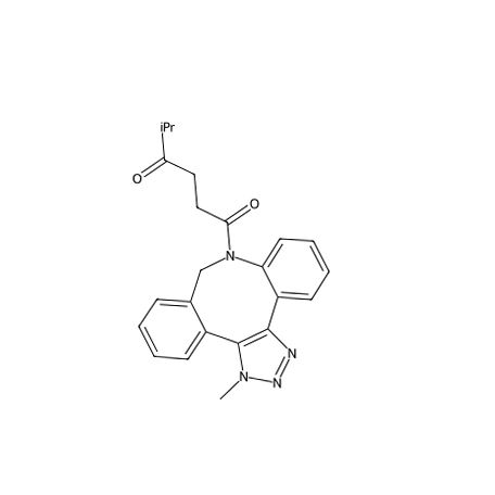 CC(C)C(=O)CCC(=O)N1Cc2ccccc2-c2c(nnn2C)-c2ccccc21